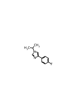 CC(C)n1[c]nc(-c2ccc(F)cc2)c1